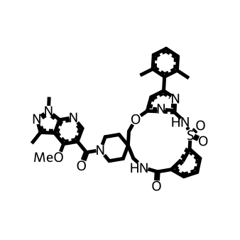 COc1c(C(=O)N2CCC3(CC2)CNC(=O)c2cccc(c2)S(=O)(=O)Nc2nc(cc(-c4c(C)cccc4C)n2)OC3)cnc2c1c(C)nn2C